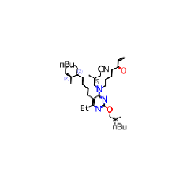 C=CC(=O)CCCCN(C[C@@H](C)CC#N)c1nc(OC[C@@H](C)CCCC)nc(CC)c1CCCCC(=C/CCCC)/C(C)=C\C